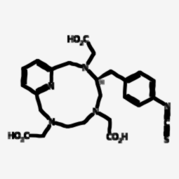 O=C(O)CN1CCN(CC(=O)O)C[C@H](Cc2ccc(N=C=S)cc2)N(CC(=O)O)Cc2cccc(n2)C1